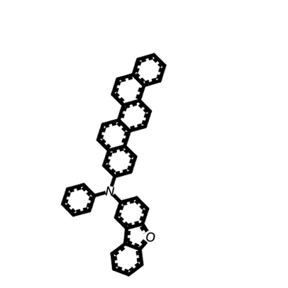 c1ccc(N(c2ccc3c(ccc4c3ccc3c5ccccc5ccc34)c2)c2ccc3oc4ccccc4c3c2)cc1